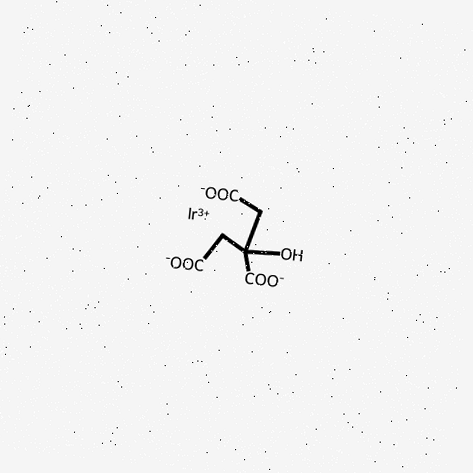 O=C([O-])CC(O)(CC(=O)[O-])C(=O)[O-].[Ir+3]